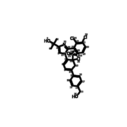 CC(C)(O)c1cn(C2=CC=C(c3ccc(CO)cc3)CC2(Cl)S(C)(=O)=O)c(-c2cccc(Cl)c2Cl)n1